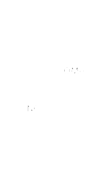 CO[CH]c1ccc(C#N)cc1